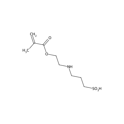 C=C(C)C(=O)OCCNCCCS(=O)(=O)O